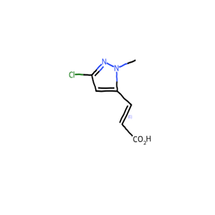 Cn1nc(Cl)cc1/C=C/C(=O)O